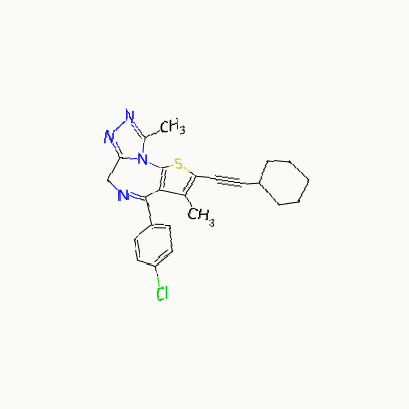 Cc1c(C#CC2CCCCC2)sc2c1C(c1ccc(Cl)cc1)=NCc1nnc(C)n1-2